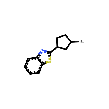 CC(C)(C)C1CCC(c2nc3ccccc3s2)C1